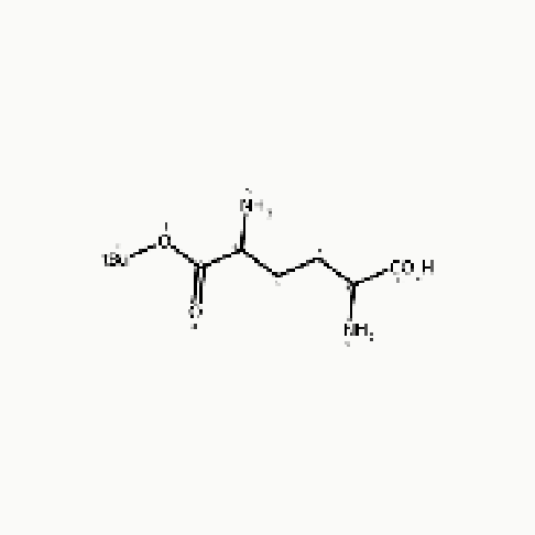 CC(C)(C)OC(=O)C(N)CCC(N)C(=O)O